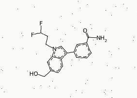 NC(=O)c1cccc(-c2cn(CCC(F)F)c3cc(CO)ccc23)c1